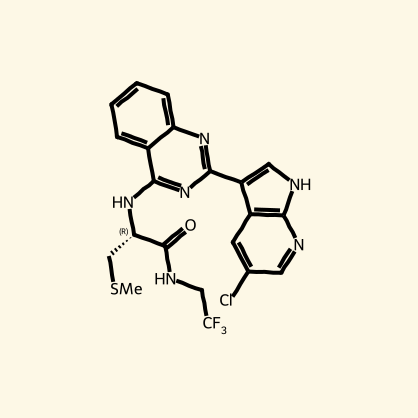 CSC[C@H](Nc1nc(-c2c[nH]c3ncc(Cl)cc23)nc2ccccc12)C(=O)NCC(F)(F)F